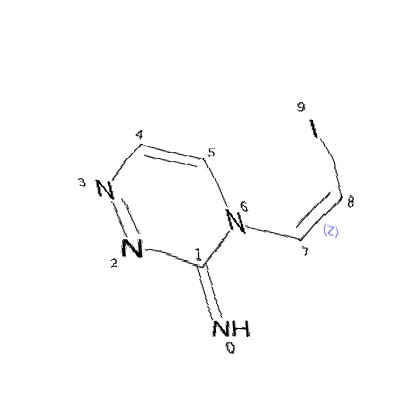 N=c1nnccn1/C=C\I